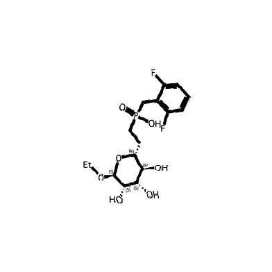 CCO[C@H]1O[C@H](CCP(=O)(O)Cc2c(F)cccc2F)[C@@H](O)[C@H](O)[C@@H]1O